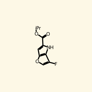 CC(C)OC(=O)c1cc2occ(F)c2[nH]1